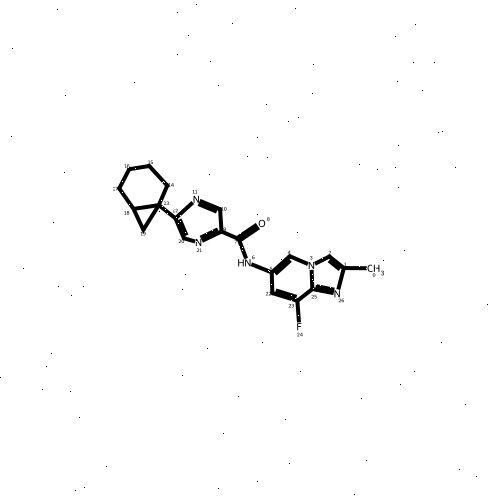 Cc1cn2cc(NC(=O)c3cnc(C45CCCCC4C5)cn3)cc(F)c2n1